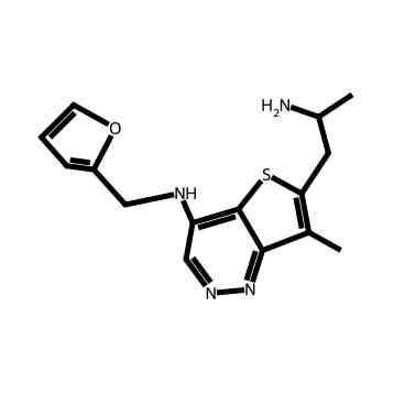 Cc1c(CC(C)N)sc2c(NCc3ccco3)cnnc12